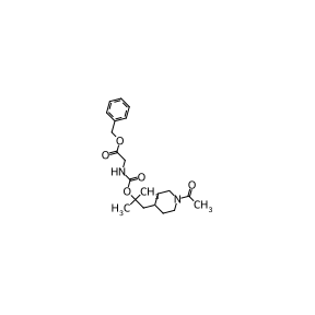 CC(=O)N1CCC(CC(C)(C)OC(=O)NCC(=O)OCc2ccccc2)CC1